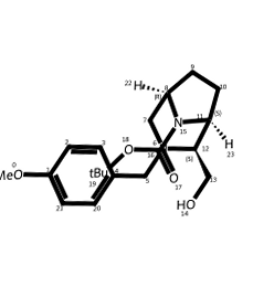 COc1ccc(CN2C[C@H]3CC[C@@H]([C@H]2CO)N3C(=O)OC(C)(C)C)cc1